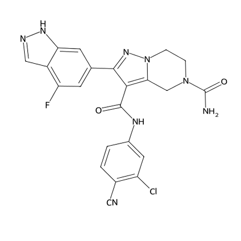 N#Cc1ccc(NC(=O)c2c(-c3cc(F)c4cn[nH]c4c3)nn3c2CN(C(N)=O)CC3)cc1Cl